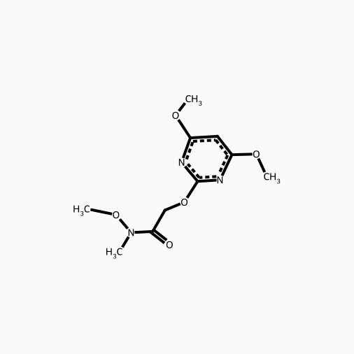 COc1cc(OC)nc(OCC(=O)N(C)OC)n1